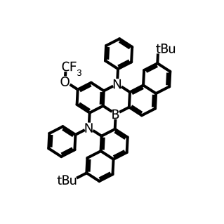 CC(C)(C)c1ccc2ccc3c(c2c1)N(c1ccccc1)c1cc(OC(F)(F)F)cc2c1B3c1ccc3ccc(C(C)(C)C)cc3c1N2c1ccccc1